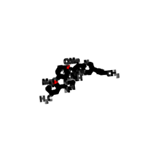 CC#Cc1cnc([C@@H](OC)[C@H](C)S(=O)(=O)Nc2nnc(-c3cncc(C)c3)n2-c2c(OC)cccc2OC)nc1